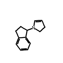 C1=CN(C2CCc3ccccc32)CC1